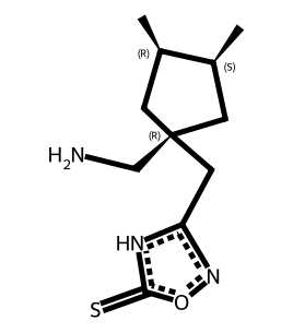 C[C@@H]1C[C@@](CN)(Cc2noc(=S)[nH]2)C[C@@H]1C